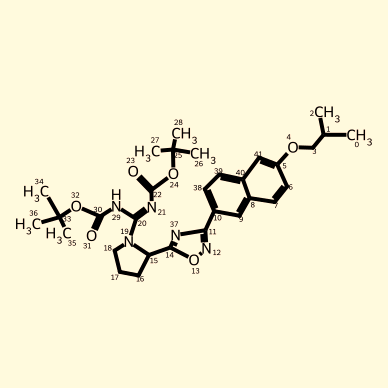 CC(C)COc1ccc2cc(-c3noc(C4CCCN4C(=NC(=O)OC(C)(C)C)NC(=O)OC(C)(C)C)n3)ccc2c1